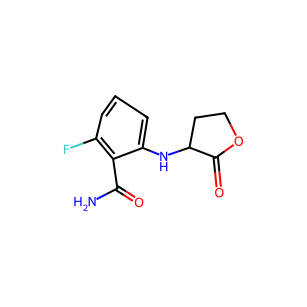 NC(=O)c1c(F)cccc1NC1CCOC1=O